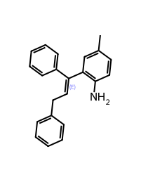 Cc1ccc(N)c(/C(=C/Cc2ccccc2)c2ccccc2)c1